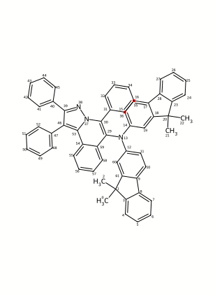 CC1(C)c2ccccc2-c2ccc(N(c3ccc4c(c3)C(C)(C)c3ccccc3-4)c3c(-c4ccccc4)n4nc(-c5ccccc5)c(-c5ccccc5)c4c4ccccc34)cc21